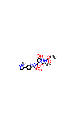 CCn1nccc1-c1ccc([C@H](CO)NC(=O)C2C[C@@H](O)CN2C(=O)[C@@H](NC(=O)OC(C)(C)C)C(C)C)cc1